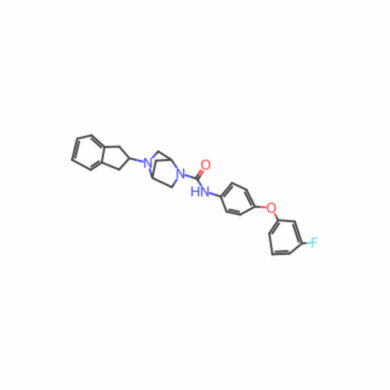 O=C(Nc1ccc(Oc2cccc(F)c2)cc1)N1CC2CC1CN2C1Cc2ccccc2C1